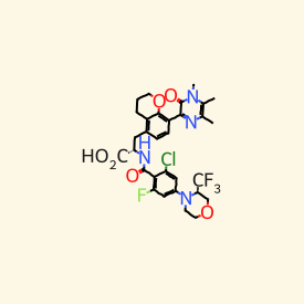 Cc1nc(-c2ccc(C[C@H](NC(=O)c3c(F)cc(N4CCOC[C@@H]4C(F)(F)F)cc3Cl)C(=O)O)c3c2OCCC3)c(=O)n(C)c1C